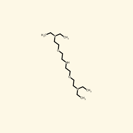 CCN(CC)CCOCCNCCOCCN(CC)CC